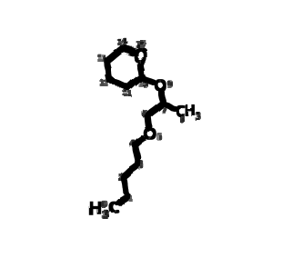 CCCCCOCC(C)OC1CCCCO1